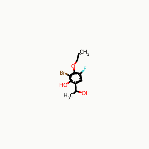 C=CCOc1c(F)cc(C(C)O)c(O)c1Br